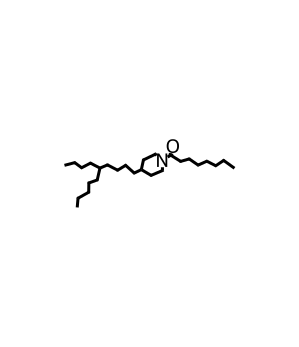 CCCCCCCC(=O)N1CCC(CCCCC(CCCC)CCCCC)CC1